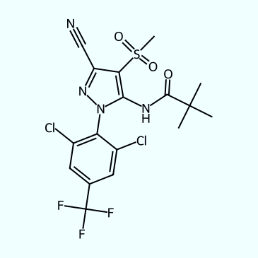 CC(C)(C)C(=O)Nc1c(S(C)(=O)=O)c(C#N)nn1-c1c(Cl)cc(C(F)(F)F)cc1Cl